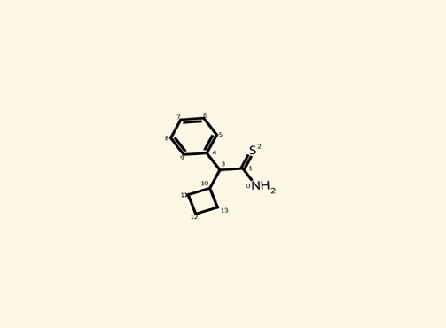 NC(=S)C(c1ccccc1)C1CCC1